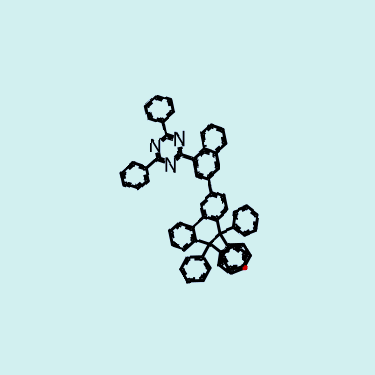 c1ccc(-c2nc(-c3ccccc3)nc(-c3cc(-c4ccc5c(c4)-c4ccccc4C(c4ccccc4)(c4ccccc4)C5(c4ccccc4)c4ccccc4)cc4ccccc34)n2)cc1